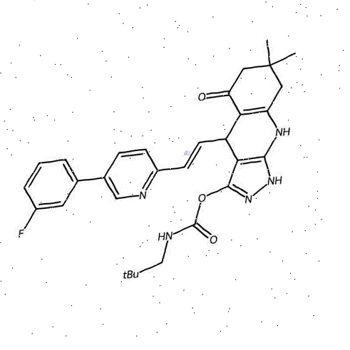 CC(C)(C)CNC(=O)Oc1n[nH]c2c1C(/C=C/c1ccc(-c3cccc(F)c3)cn1)C1=C(CC(C)(C)CC1=O)N2